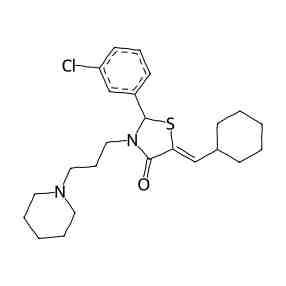 O=C1C(=CC2CCCCC2)SC(c2cccc(Cl)c2)N1CCCN1CCCCC1